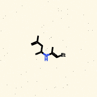 C=C(C)CC(C)N/C(C)=C/CC